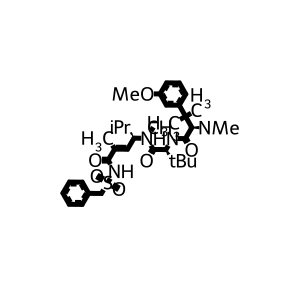 CN[C@@H](C(=O)N[C@H](C(=O)N(C)[C@H](C=C(C)C(=O)NS(=O)(=O)Cc1ccccc1)C(C)C)C(C)(C)C)C(C)(C)c1cccc(OC)c1